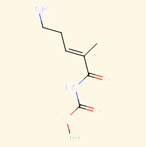 CC(=CCCN)C(=O)NC(=O)OC(C)(C)C